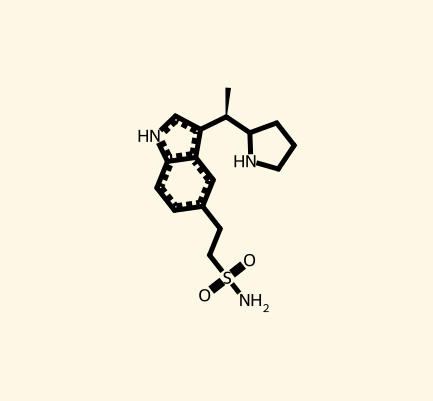 C[C@H](c1c[nH]c2ccc(CCS(N)(=O)=O)cc12)C1CCCN1